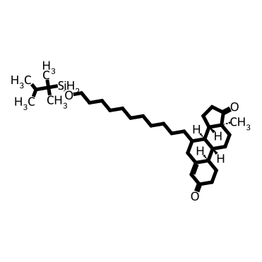 CC(C)C(C)(C)[SiH2]OCCCCCCCCCCCC1CC2=CC(=O)CC[C@@H]2[C@H]2CC[C@]3(C)C(=O)CC[C@H]3[C@H]12